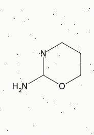 NC1[N]CCCO1